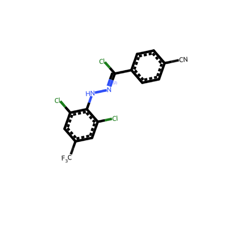 N#Cc1ccc(/C(Cl)=N/Nc2c(Cl)cc(C(F)(F)F)cc2Cl)cc1